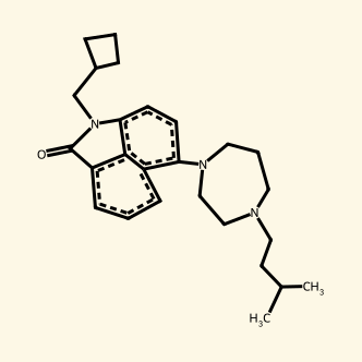 CC(C)CCN1CCCN(c2ccc3c4c(cccc24)C(=O)N3CC2CCC2)CC1